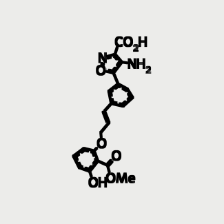 COC(=O)c1c(O)cccc1OCC=Cc1cccc(-c2onc(C(=O)O)c2N)c1